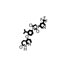 CC(C)c1cc(N2C(=O)CN(c3cncc(C(F)(F)F)c3)C2=O)ccc1Oc1ccnc2c1CCC(=O)N2